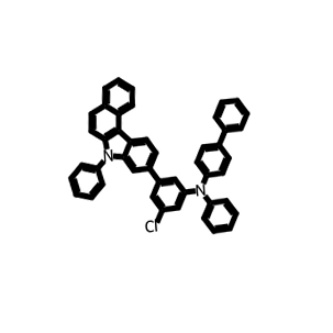 Clc1cc(-c2ccc3c4c5ccccc5ccc4n(-c4ccccc4)c3c2)cc(N(c2ccccc2)c2ccc(-c3ccccc3)cc2)c1